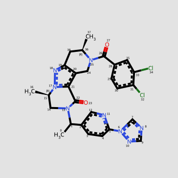 CC(c1ccc(-n2cncn2)nc1)N1C[C@@H](C)n2nc3c(c2C1=O)CN(C(=O)c1ccc(Cl)c(Cl)c1)[C@H](C)C3